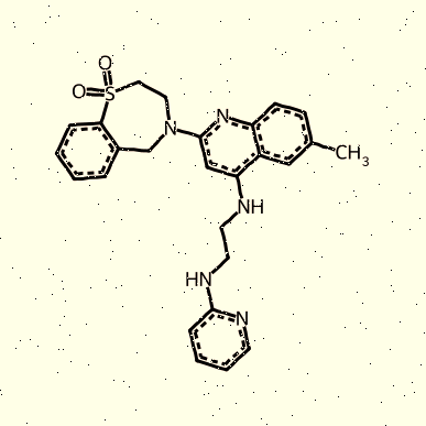 Cc1ccc2nc(N3CCS(=O)(=O)c4ccccc4C3)cc(NCCNc3ccccn3)c2c1